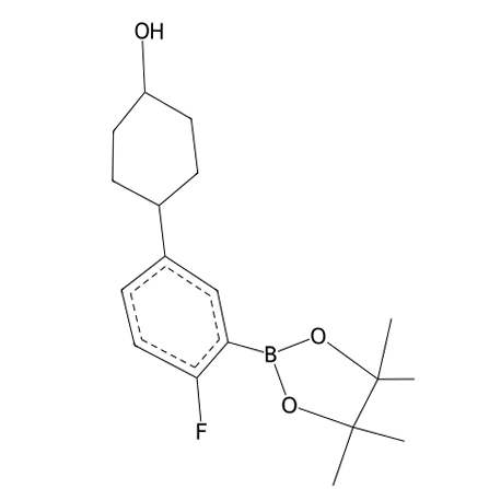 CC1(C)OB(c2cc(C3CCC(O)CC3)ccc2F)OC1(C)C